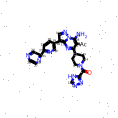 CC(=O)c1c(C2CCN(C(=O)c3nnc[nH]3)CC2)nc2c(-c3ccc(-c4cnccn4)nc3)cnn2c1N